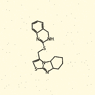 C1=C(CSC2=Nc3ccccc3CN2)N2C(=NC3CCCCC32)S1